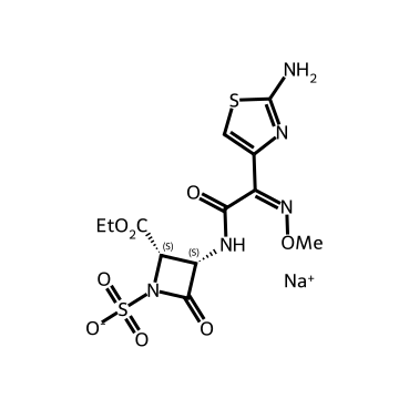 CCOC(=O)[C@@H]1[C@H](NC(=O)C(=NOC)c2csc(N)n2)C(=O)N1S(=O)(=O)[O-].[Na+]